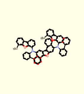 CC(C)(C)c1cccc2c1oc1c(N(c3ccccc3-c3ccccc3)c3cc4c(oc5cc(N(c6ccccc6-c6ccccc6)c6cccc7c6oc6c(C(C)(C)C)cccc67)c6ccccc6c54)c4ccccc34)cccc12